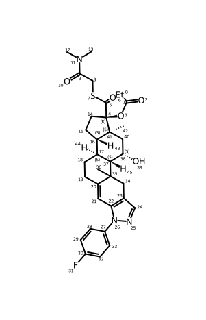 CCC(=O)O[C@]1(C(=O)SCC(=O)N(C)C)CC[C@H]2[C@@H]3CCC4=Cc5c(cnn5-c5ccc(F)cc5)CC4(C)[C@H]3[C@@H](O)C[C@@]21C